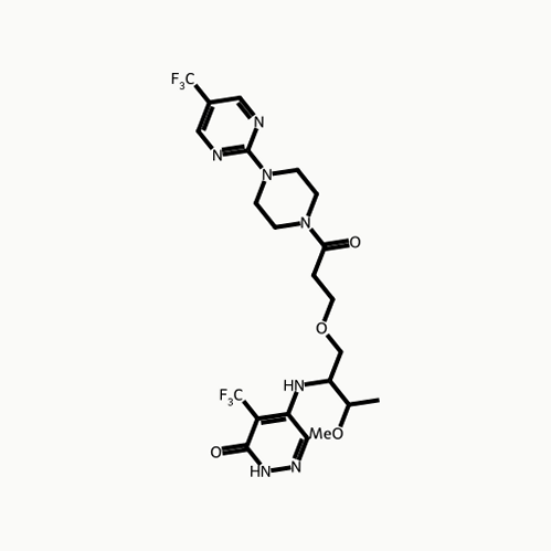 COC(C)C(COCCC(=O)N1CCN(c2ncc(C(F)(F)F)cn2)CC1)Nc1cn[nH]c(=O)c1C(F)(F)F